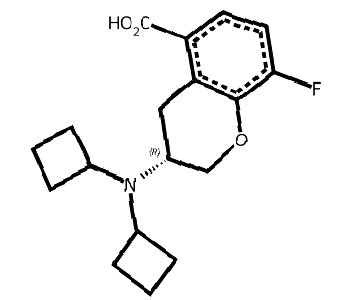 O=C(O)c1ccc(F)c2c1C[C@@H](N(C1CCC1)C1CCC1)CO2